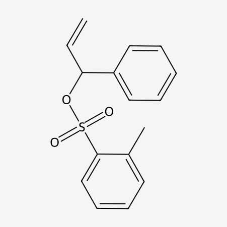 C=CC(OS(=O)(=O)c1ccccc1C)c1ccccc1